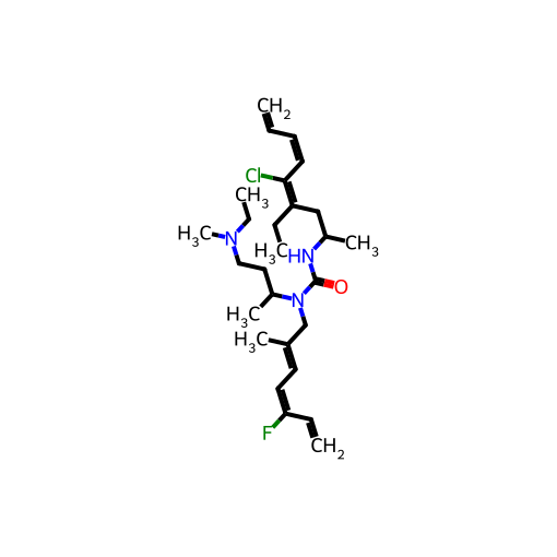 C=C/C=C\C(Cl)=C(\CC)CC(C)NC(=O)N(C/C(C)=C/C=C(/F)C=C)C(C)CCN(C)CC